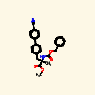 COC(=O)C(C)(Cc1ccc(-c2ccc(C#N)cc2)cc1)NC(=O)OCc1ccccc1